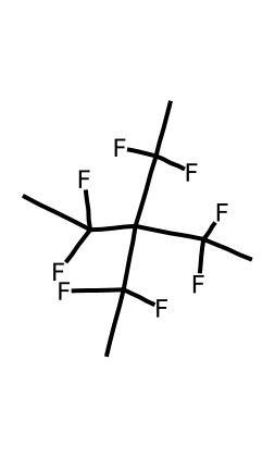 CC(F)(F)C(C(C)(F)F)(C(C)(F)F)C(C)(F)F